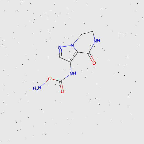 NOC(=O)Nc1cnn2c1C(=O)NCC2